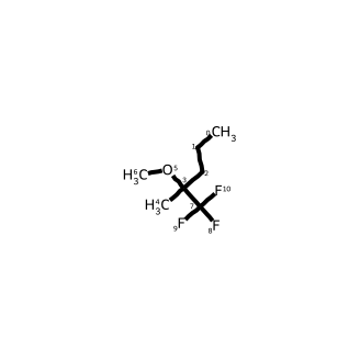 CCCC(C)(OC)C(F)(F)F